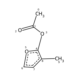 CC(=O)Oc1occc1C